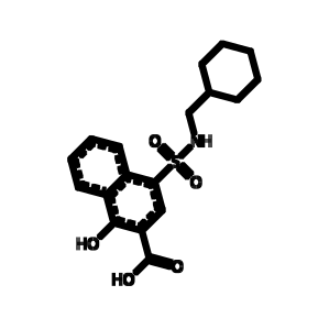 O=C(O)c1cc(S(=O)(=O)NCC2CCCCC2)c2ccccc2c1O